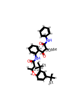 CCC(C)(C)c1ccc(OC(C)CC(=O)Nc2ccccc2C(=O)C(OC)C(=O)Nc2ccccc2)c(C(C)(C)CC)c1